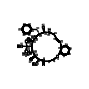 CCC(C)[C@@H]1NCCOc2ccccc2/C=C/CNC(=O)[C@@H](Cc2ccccc2)NC(=O)[C@H](C(C)(C)O)N(C)C1=O